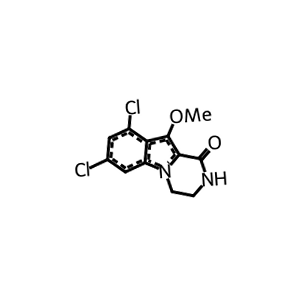 COc1c2n(c3cc(Cl)cc(Cl)c13)CCNC2=O